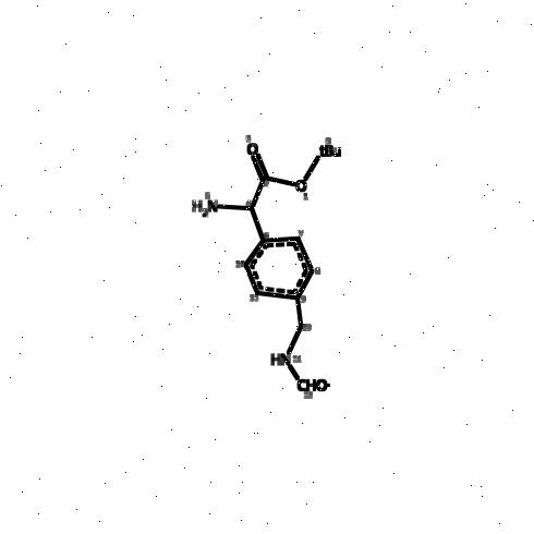 CC(C)(C)OC(=O)C(N)c1ccc(CN[C]=O)cc1